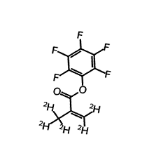 [2H]C([2H])=C(C(=O)Oc1c(F)c(F)c(F)c(F)c1F)C([2H])([2H])[2H]